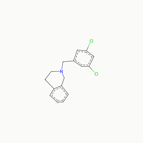 Clc1cc(Cl)cc(CN2CCc3c[c]ccc3C2)c1